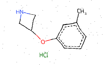 Cc1cccc(OC2CNC2)c1.Cl